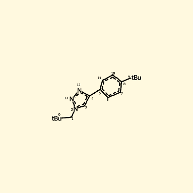 CC(C)(C)Cn1cc(-c2ccc(C(C)(C)C)cc2)nn1